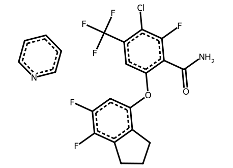 NC(=O)c1c(Oc2cc(F)c(F)c3c2CCC3)cc(C(F)(F)F)c(Cl)c1F.c1ccncc1